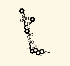 C[C@H](CCC(=O)OCOC(=O)c1ccc(CC(CCC(=O)NOCc2ccccc2)C(=O)OCc2ccccc2)cc1)C1CCC2C3CC[C@@H]4C[C@H](O)CC[C@]4(C)C3C[C@H](O)[C@@]21C